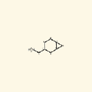 NCC1CCC2CC2C1